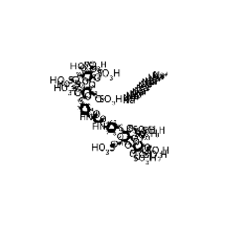 O=C(CC(=O)Nc1ccc(S[C@@H]2O[C@H](COS(=O)(=O)O)[C@@H](O[C@@H]3O[C@H](COS(=O)(=O)O)[C@@H](OS(=O)(=O)O)[C@H](OS(=O)(=O)O)[C@H]3OS(=O)(=O)O)[C@H](OS(=O)(=O)O)[C@H]2OS(=O)(=O)O)cc1)Nc1ccc(S[C@@H]2O[C@H](COS(=O)(=O)O)[C@@H](O[C@@H]3O[C@H](COS(=O)(=O)O)[C@@H](OS(=O)(=O)O)[C@H](OS(=O)(=O)O)[C@H]3OS(=O)(=O)O)[C@H](OS(=O)(=O)O)[C@H]2OS(=O)(=O)O)cc1.[Na+].[Na+].[Na+].[Na+].[Na+].[Na+].[Na+].[Na+].[Na+].[Na+].[Na+].[Na+].[Na+].[Na+]